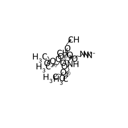 C#CCOCC1O[C@@H](OCCN=[N+]=[N-])C(NC(=O)C[C@@H](CC)OC(=O)CC)C(OC(=O)C[C@@H](CC)OC(=O)CC)[C@@H]1OC